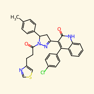 Cc1ccc(C2CC(c3c(-c4ccc(Cl)cc4)c4ccccc4[nH]c3=O)=NN2C(=O)CCc2cscn2)cc1